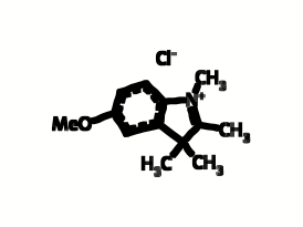 COc1ccc2c(c1)C(C)(C)C(C)=[N+]2C.[Cl-]